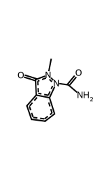 Cn1c(=O)c2ccccc2n1C(N)=O